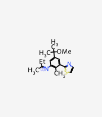 CC/C(C)=N\c1cc(C(C)(C)OC)cc(-c2nccs2)c1C